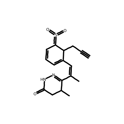 C#CCC1C(C=C(C)C2=NNC(=O)CC2C)=CC=CC1=S(=O)=O